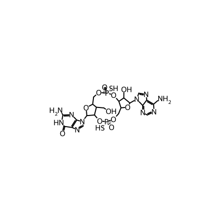 Nc1nc2c(ncn2C2OC3CO[P@](=O)(S)OC4C(CO[P@](=O)(S)OC2C3CO)OC(n2cnc3c(N)ncnc32)C4O)c(=O)[nH]1